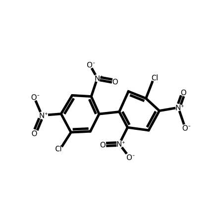 O=[N+]([O-])c1cc([N+](=O)[O-])c(-c2cc(Cl)c([N+](=O)[O-])cc2[N+](=O)[O-])cc1Cl